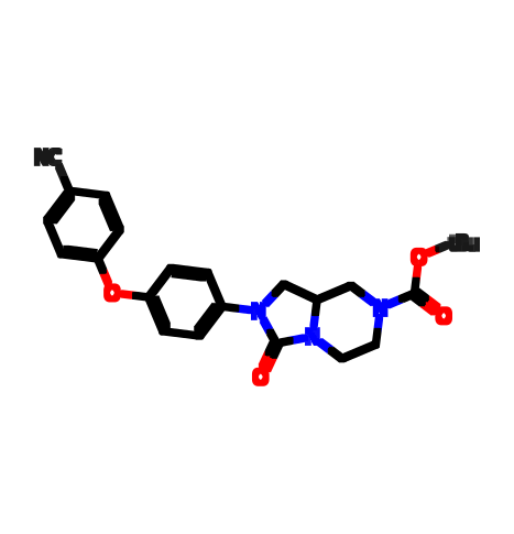 CC(C)(C)OC(=O)N1CCN2C(=O)N(c3ccc(Oc4ccc(C#N)cc4)cc3)CC2C1